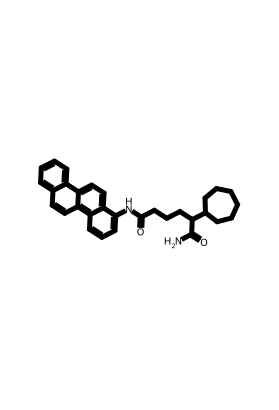 NC(=O)C(CCCC(=O)Nc1cccc2c1ccc1c3ccccc3ccc21)C1CCCCCC1